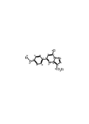 CCOC(=O)c1cnn2c(Cl)cc(-c3ccc(OCC)cc3)nc12